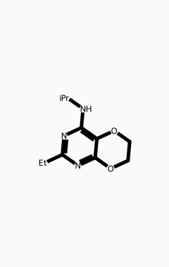 CCc1nc(NC(C)C)c2c(n1)OCCO2